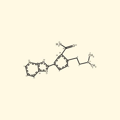 CN(C)CCc1ccc(-c2nc3ncccc3o2)cc1C(N)=O